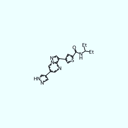 CCC(CC)NC(=O)c1cc(-c2cnn3cc(-c4cn[nH]c4)cnc23)cs1